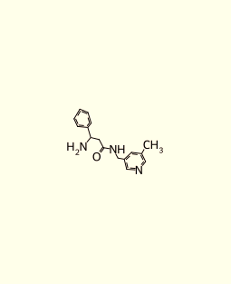 Cc1cncc(CNC(=O)CC(N)c2ccccc2)c1